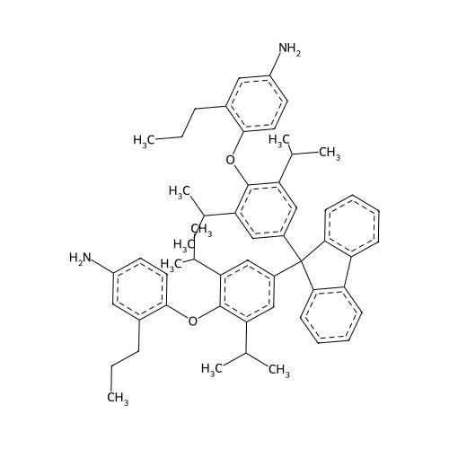 CCCc1cc(N)ccc1Oc1c(C(C)C)cc(C2(c3cc(C(C)C)c(Oc4ccc(N)cc4CCC)c(C(C)C)c3)c3ccccc3-c3ccccc32)cc1C(C)C